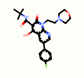 CC(C)(C)NC(=O)c1c(O)c2cc(-c3ccc(F)cc3)cnc2n(CCN2CCOCC2)c1=O